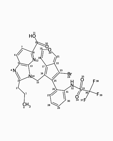 CCCc1nc2ccc(C(=O)O)nc2n1Cc1c2ccocc-2c(Br)c1-c1ccccc1NS(=O)(=O)C(F)(F)F